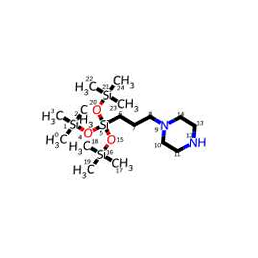 C[Si](C)(C)O[Si](CCCN1CCNCC1)(O[Si](C)(C)C)O[Si](C)(C)C